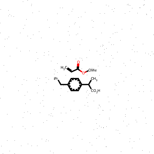 C=CC(=O)OOC.CC(C)Cc1ccc(C(C)C(=O)O)cc1